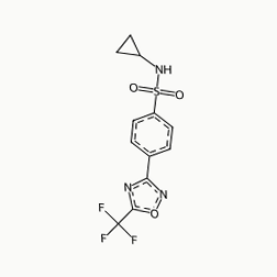 O=S(=O)(NC1CC1)c1ccc(-c2noc(C(F)(F)F)n2)cc1